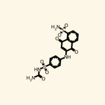 NC(=O)NS(=O)(=O)c1ccc(NC2=CC(=O)c3c(cccc3S(N)(=O)=O)C2=O)cc1